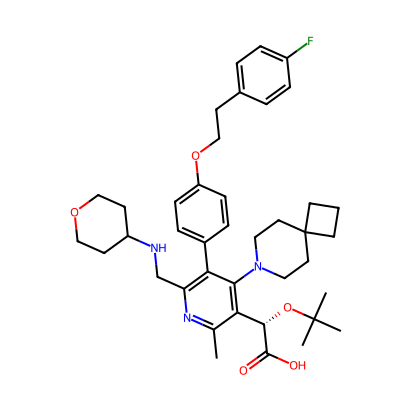 Cc1nc(CNC2CCOCC2)c(-c2ccc(OCCc3ccc(F)cc3)cc2)c(N2CCC3(CCC3)CC2)c1[C@H](OC(C)(C)C)C(=O)O